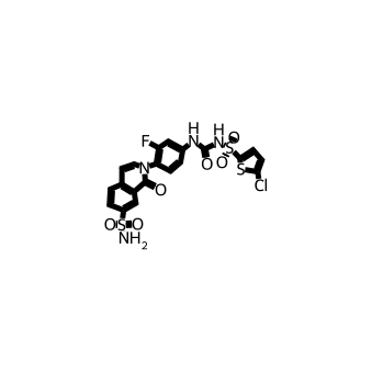 NS(=O)(=O)c1ccc2ccn(-c3ccc(NC(=O)NS(=O)(=O)c4ccc(Cl)s4)cc3F)c(=O)c2c1